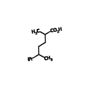 CC(CCC(C)C(C)C)C(=O)O